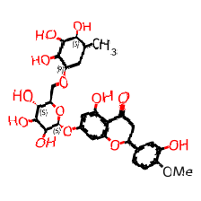 COc1ccc(C2CC(=O)c3c(O)cc(O[C@@H]4OC(CO[C@@H]5CC(C)[C@H](O)C(O)C5O)[C@@H](O)C(O)C4O)cc3O2)cc1O